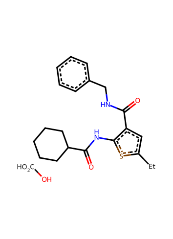 CCc1cc(C(=O)NCc2ccccc2)c(NC(=O)C2CCCCC2)s1.O=C(O)O